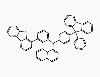 C1=CC2C=CC=C(N(c3ccc(C4(c5ccccc5)c5ccccc5-c5ccccc54)cc3)c3cccc(-c4cccc5c4sc4ccccc45)c3)C2C=C1